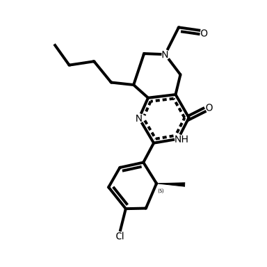 CCCCC1CN(C=O)Cc2c1nc(C1=CC=C(Cl)C[C@@H]1C)[nH]c2=O